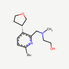 CCC(C)c1ccc([C@@H]2CCOC2)c(CN(C)CCO)n1